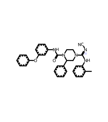 Cc1ccccc1N/C(=N/C#N)N1CCN(C(=O)Nc2cccc(Oc3ccccc3)c2)C(c2ccccc2)C1